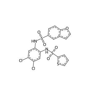 O=S(=O)(Nc1cc(Cl)c(Cl)cc1NS(=O)(=O)c1cccs1)c1ccc2occc2c1